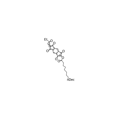 CCCCCCCCCCCCCCCCCC(=O)On1c(=O)c2cc3c(=O)n(OC(=O)CC)c(=O)c3cc2c1=O